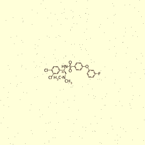 CN(C)C[C@H](NS(=O)(=O)c1ccc(Oc2cccc(F)c2)cc1)c1ccc(Cl)c(Cl)c1